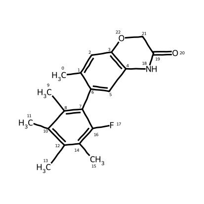 Cc1cc2c(cc1-c1c(C)c(C)c(C)c(C)c1F)NC(=O)CO2